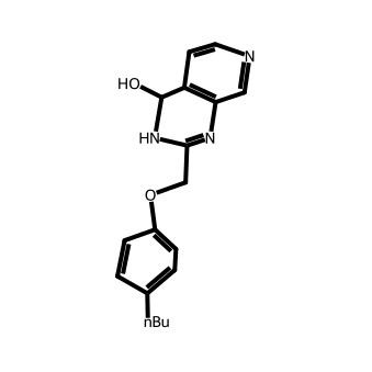 CCCCc1ccc(OCC2=Nc3cnccc3C(O)N2)cc1